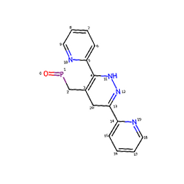 O=PCC1=C(c2ccccn2)NN=C(c2ccccn2)C1